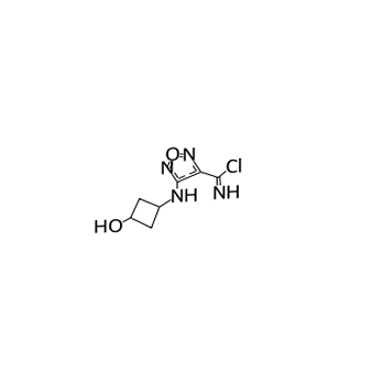 N=C(Cl)c1nonc1NC1CC(O)C1